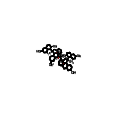 CC(C)(c1cccc(CC(C)(c2c(O)ccc3cc(O)ccc23)c2c(O)ccc3cc(O)ccc23)c1)c1ccccc1CC(C)(c1c(O)ccc2cc(O)ccc12)c1c(O)ccc2cc(O)ccc12